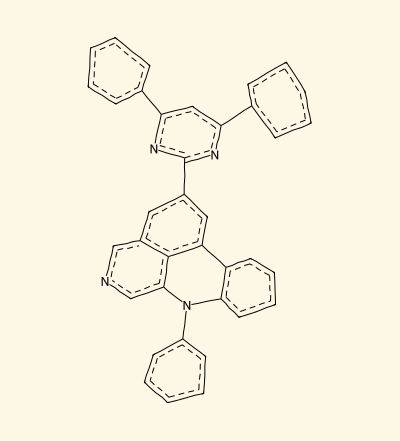 c1ccc(-c2cc(-c3ccccc3)nc(-c3cc4c5c(cncc5c3)N(c3ccccc3)c3ccccc3-4)n2)cc1